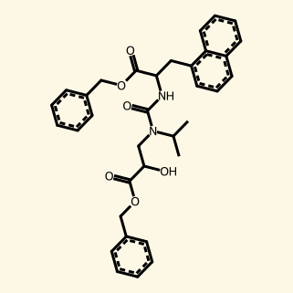 CC(C)N(CC(O)C(=O)OCc1ccccc1)C(=O)NC(Cc1cccc2ccccc12)C(=O)OCc1ccccc1